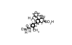 CCNC(=O)Nc1ccc(-c2nc3c(c(N4CCOCC4C)n2)C(C(C)(C)C)CN(C(=O)O)C3)cc1C